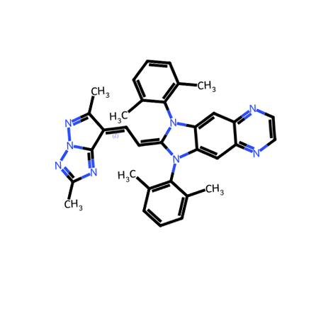 Cc1nc2/c(=C\C=C3N(c4c(C)cccc4C)c4cc5nccnc5cc4N3c3c(C)cccc3C)c(C)nn2n1